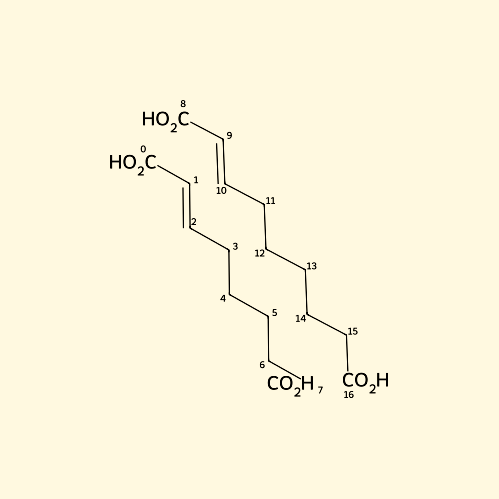 O=C(O)/C=C/CCCCC(=O)O.O=C(O)/C=C/CCCCCC(=O)O